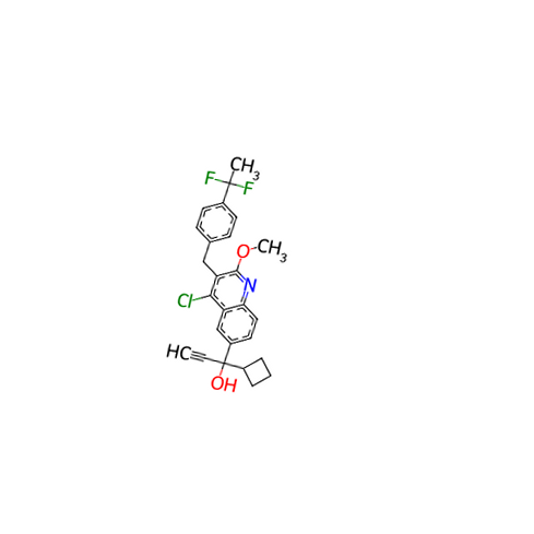 C#CC(O)(c1ccc2nc(OC)c(Cc3ccc(C(C)(F)F)cc3)c(Cl)c2c1)C1CCC1